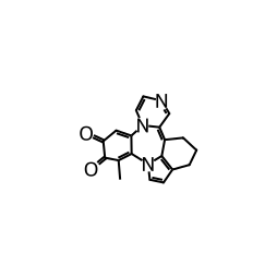 Cc1c2n3ccc4c3c(c3cnccn3c-2cc(=O)c1=O)CCC4